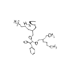 CCCCC(CC)COC(OCC(CC)CCCC)C(=O)c1ccccc1